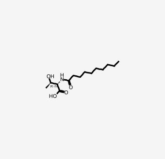 CCCCCCCCCC(=O)N[C@H](C(=O)O)[C@@H](C)O